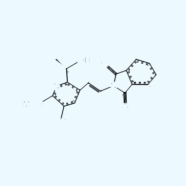 COc1nc([C@@H](C)O)c(C=CN2C(=O)c3ccccc3C2=O)cc1C(F)(F)F